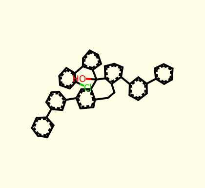 OC1(c2ccccc2-c2ccccc2Cl)c2cc(-c3cccc(-c4ccccc4)c3)ccc2CCc2c(-c3cccc(-c4ccccc4)c3)cccc21